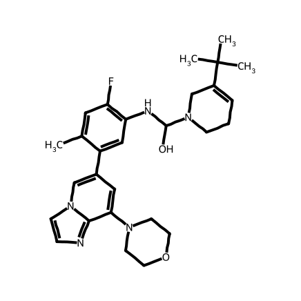 Cc1cc(F)c(NC(O)N2CCC=C(C(C)(C)C)C2)cc1-c1cc(N2CCOCC2)c2nccn2c1